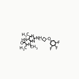 Cc1nc(NC[C@H]2C[C@@H](Oc3cc(F)c(F)c(F)c3)C2)nc2c1NC(=O)[C@H](C)N2C